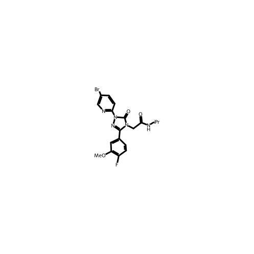 COc1cc(-c2nn(-c3ccc(Br)cn3)c(=O)n2CC(=O)NC(C)C)ccc1F